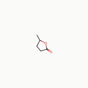 [CH2]C1CCC(=O)O1